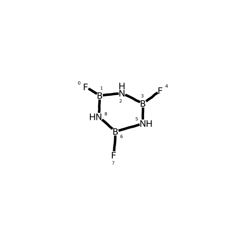 FB1NB(F)NB(F)N1